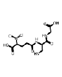 O=C(O)CNC(=O)C(CS)NC(=O)CCC(C(=O)O)N(Cl)Cl